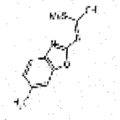 CS/C(C)=N\c1nc2ccc(C)cc2o1